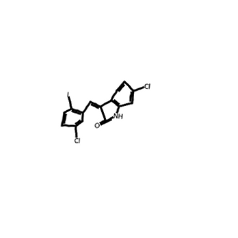 O=C1Nc2cc(Cl)ccc2C1=Cc1cc(Cl)ccc1I